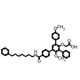 COc1ccc(-c2cc(-c3ccc(C(=O)NCCCCCCCc4ccccc4)cc3)c(OC)c(-c3ccccc3)c2OCC(=O)O)cc1